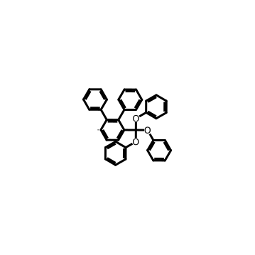 [c]1ccc(C(Oc2ccccc2)(Oc2ccccc2)Oc2ccccc2)c(-c2ccccc2)c1-c1ccccc1